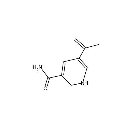 C=C(C)C1=CNCC(C(N)=O)=C1